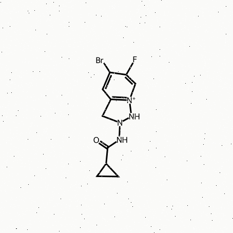 O=C(NN1Cc2cc(Br)c(F)c[n+]2N1)C1CC1